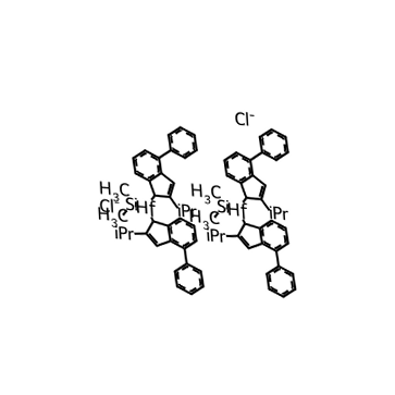 CC(C)C1=Cc2c(-c3ccccc3)cccc2[CH]1[Hf]([CH]1C(C(C)C)=Cc2c(-c3ccccc3)cccc21)=[Si](C)C.CC(C)C1=Cc2c(-c3ccccc3)cccc2[CH]1[Hf]([CH]1C(C(C)C)=Cc2c(-c3ccccc3)cccc21)=[Si](C)C.[Cl-].[Cl-]